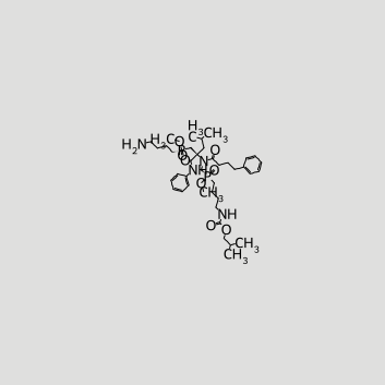 CO[P@@](=O)(CCCCN)C[C@](CC(C)C)(C(=O)Nc1ccccc1)N(C[P@@](=O)(CCCCNC(=O)OCC(C)C)OC)C(=O)CCCc1ccccc1